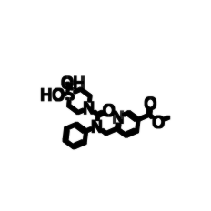 COC(=O)c1ccc(CN(C(=O)N2CCS(O)(O)CC2)c2ccccc2)nc1